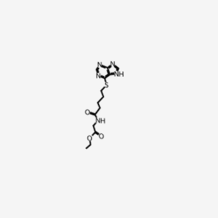 CCOC(=O)CNC(=O)CCCCSc1ncnc2nc[nH]c12